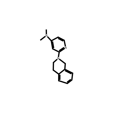 CN(C)c1ccnc(N2CCc3ccccc3C2)c1